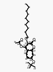 CCCCCCCCCCOc1c(OC(C)=O)c2ccc(OC(C)(C)C)cc2oc1=O